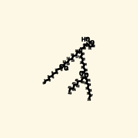 CCCCCCCCCOC(=O)CCCCCCCN(CCCCCCCC(=O)OC(CCCCCCCC)CCCCCCCC)CCCN1CCOC1O